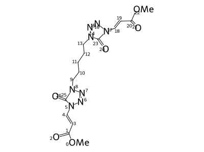 COC(=O)/C=C/n1nnn(CCCCCn2nnn(/C=C/C(=O)OC)c2=O)c1=O